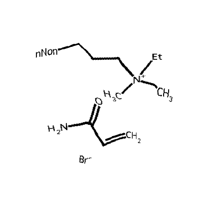 C=CC(N)=O.CCCCCCCCCCCC[N+](C)(C)CC.[Br-]